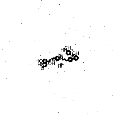 CNC1CCC(N(C(=O)O)c2cc(CCCn3nnc4cc(CNC[C@H](O)c5ccc(O)c6[nH]c(=O)ccc56)ccc43)ccc2-c2ccccc2)CC1.F.F